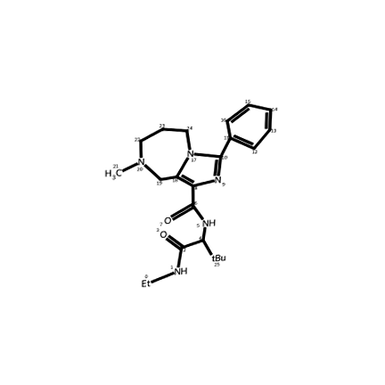 CCNC(=O)C(NC(=O)c1nc(-c2ccccc2)n2c1CN(C)CCC2)C(C)(C)C